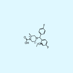 CC(O)[C@@H]1CN(C(=O)O)[C@@H](C)CN1C(c1ccc(F)cc1)c1ccc(F)cc1